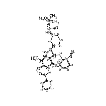 Cn1c(=O)n(CC(=O)c2ccccc2)c(=O)c2c1nc(N1CCCC(NC(=O)OC(C)(C)C)C1)n2Cc1ccccc1C#N